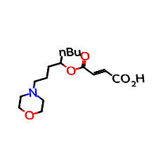 CCCCC(CCCN1CCOCC1)OC(=O)C=CC(=O)O